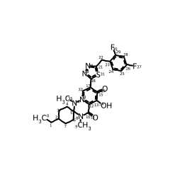 CCC1CCC2(CC1)N(C)C(=O)c1c(O)c(=O)c(-c3nnc(Cc4ccc(F)cc4F)s3)cn1N2C